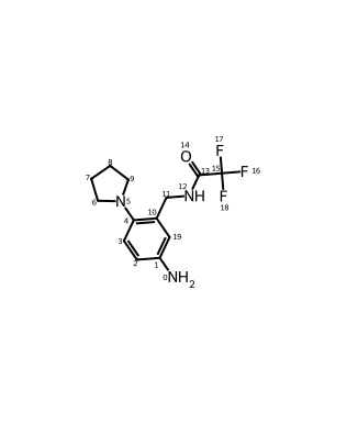 Nc1ccc(N2CCCC2)c(CNC(=O)C(F)(F)F)c1